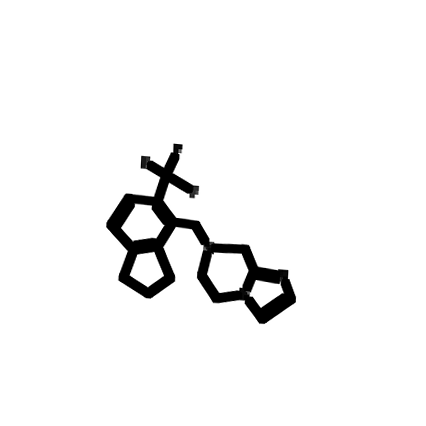 FC(F)(F)c1ccc2c(c1CN1CCn3ccnc3C1)CCC2